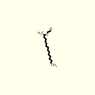 CCCCCCCCCCCCCCC(C)OCC[O]